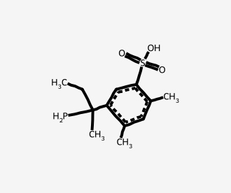 CCC(C)(P)c1cc(S(=O)(=O)O)c(C)cc1C